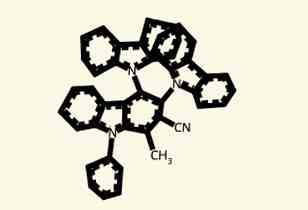 Cc1c(C#N)c(-n2c3ccccc3c3ccccc32)c(-n2c3ccccc3c3ccccc32)c2c3ccccc3n(-c3ccccc3)c12